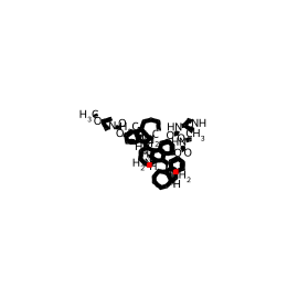 CCNC(=O)Oc1ccc2c(c1)[C@@]1(CC3c4ccc(OC(=O)NC5CNC5)cc4[C@@]4(C)C(C5c6ccc(OC(=O)N7CC(OC)C7)cc6[C@@]6(C)CCCCC[C@@H]5[C@@H]6N)CCCC[C@@H]3[C@@H]4N)CCCCC[C@@H](C2)[C@@H]1N